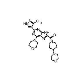 O=C(c1nc2c(N3CCOCC3)nc(-c3c[nH]nc3C(F)(F)F)nc2[nH]1)N1CCC(N2CCOCC2)CC1